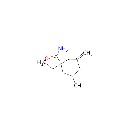 C=C1CC(C)CC(CC)(C(N)=O)C1